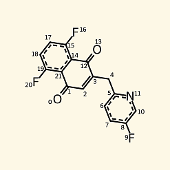 O=C1C=C(Cc2ccc(F)cn2)C(=O)c2c(F)ccc(F)c21